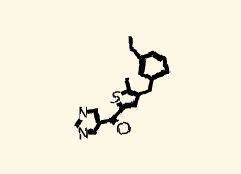 CCc1cccc(Cc2cc(C(=O)c3cncnc3)sc2C)c1